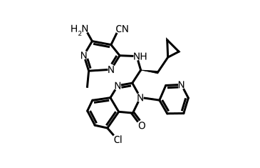 Cc1nc(N)c(C#N)c(N[C@@H](CC2CC2)c2nc3cccc(Cl)c3c(=O)n2-c2cccnc2)n1